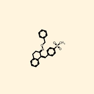 CS(=O)(=O)c1ccc(C=C2C(=NOCc3ccccc3)CCc3ccccc32)cc1